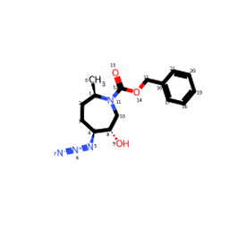 C[C@@H]1CC[C@H](N=[N+]=[N-])[C@@H](O)CN1C(=O)OCc1ccccc1